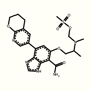 CC(COc1cc(-c2cnc3c(c2)CCCO3)c2nc[nH]c2c1C(N)=O)N(C)COS(C)(=O)=O